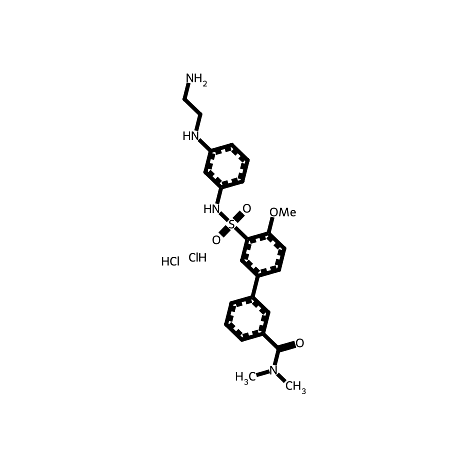 COc1ccc(-c2cccc(C(=O)N(C)C)c2)cc1S(=O)(=O)Nc1cccc(NCCN)c1.Cl.Cl